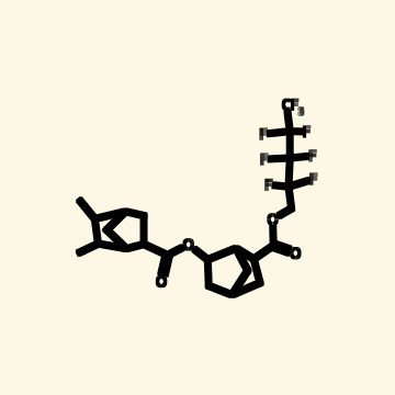 CC1C2CC(C(=O)OC3CC4CC(C(=O)OCC(F)(F)C(F)(F)C(F)(F)C(F)(F)F)C3C4)C(C2)C1C